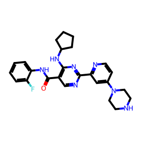 O=C(Nc1ccccc1F)c1cnc(-c2cc(N3CCNCC3)ccn2)nc1NC1CCCC1